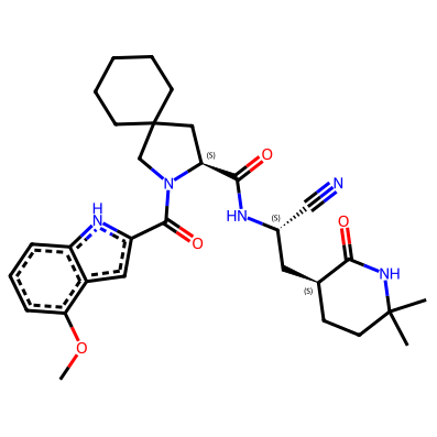 COc1cccc2[nH]c(C(=O)N3CC4(CCCCC4)C[C@H]3C(=O)N[C@H](C#N)C[C@@H]3CCC(C)(C)NC3=O)cc12